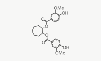 COc1cc(C(=O)O[C@H]2CCCCC[C@@H]2OC(=O)c2ccc(O)c(OC)c2)ccc1O